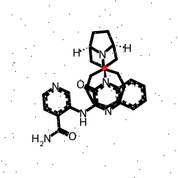 NC(=O)c1ccncc1Nc1nc2ccccc2n([C@H]2C[C@H]3CC[C@@H](C2)N3C2CCCCCCC2)c1=O